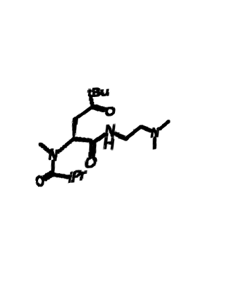 CC(C)C(=O)N(C)[C@@H](CC(=O)C(C)(C)C)C(=O)NCCN(C)C